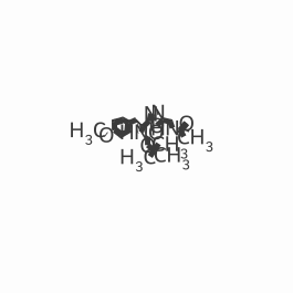 COc1ccc(C[C@H](NC(=O)OC(C)(C)C)c2nnc(CNC(C)=O)o2)cc1